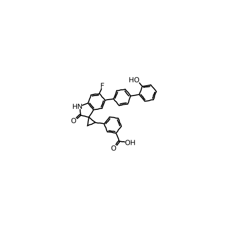 O=C(O)c1cccc(C2CC23C(=O)Nc2cc(F)c(-c4ccc(-c5ccccc5O)cc4)cc23)c1